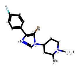 CC(C)(C)C1CC(n2cnc(-c3ccc(F)cc3)c2Br)CCN1C(=O)O